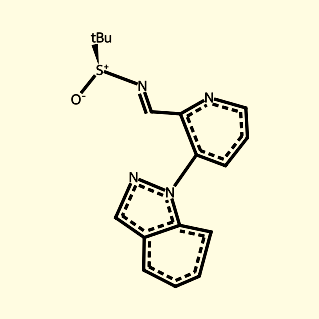 CC(C)(C)[S@+]([O-])N=Cc1ncccc1-n1ncc2ccccc21